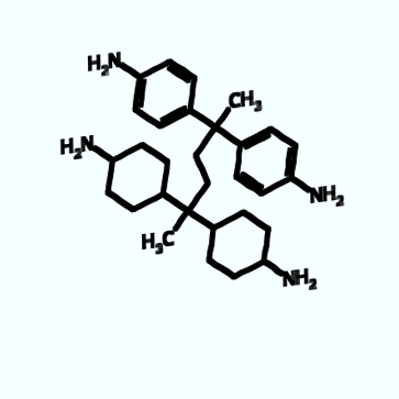 CC(CCC(C)(C1CCC(N)CC1)C1CCC(N)CC1)(c1ccc(N)cc1)c1ccc(N)cc1